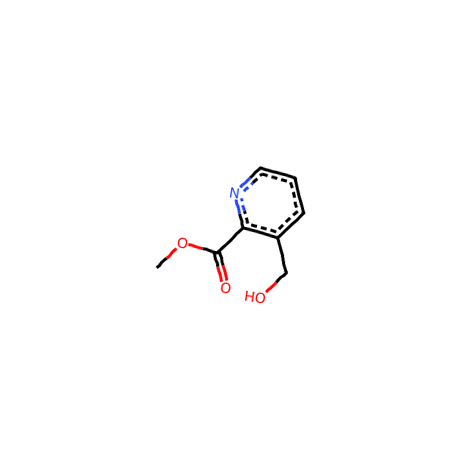 COC(=O)c1ncccc1CO